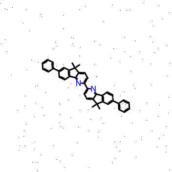 CC1(C)c2cc(-c3ccccc3)ccc2-c2nc(-c3ccc4c(n3)-c3ccc(-c5ccccc5)cc3C4(C)C)ccc21